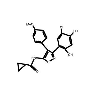 COc1ccc(-c2c(-c3cc(Cl)c(O)cc3O)noc2NC(=O)C2CC2)cc1